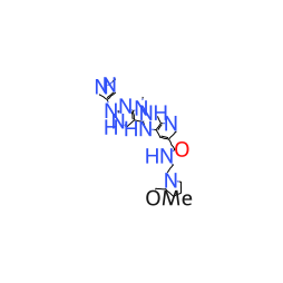 COCC1CCCN1CCNC(=O)c1cnc(C)c(NC2NN(C)c3nc(Nc4cnn(C)c4)ncc32)c1